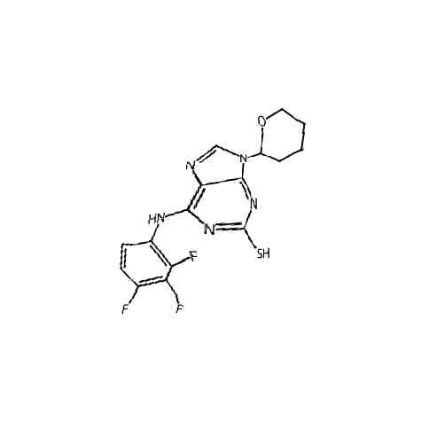 Fc1ccc(Nc2nc(S)nc3c2ncn3C2CCCCO2)c(F)c1F